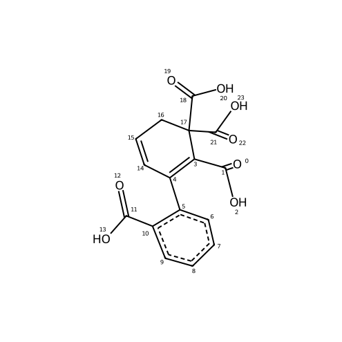 O=C(O)C1=C(c2ccccc2C(=O)O)C=CCC1(C(=O)O)C(=O)O